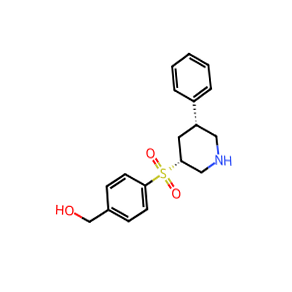 O=S(=O)(c1ccc(CO)cc1)[C@H]1CNC[C@@H](c2ccccc2)C1